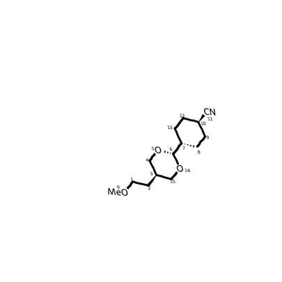 COCC[C@H]1CO[C@H]([C@H]2CC[C@H](C#N)CC2)OC1